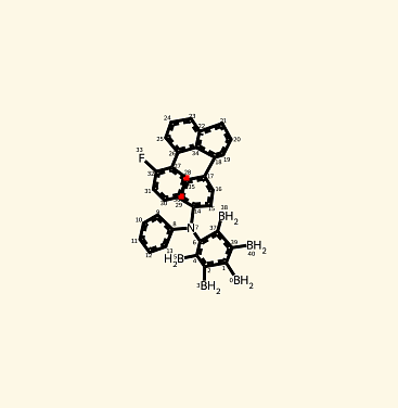 Bc1c(B)c(B)c(N(c2ccccc2)c2ccc(-c3cccc4cccc(-c5ccccc5F)c34)cc2)c(B)c1B